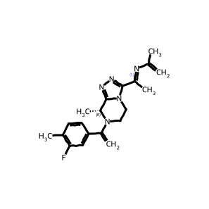 C=C(C)/N=C(\C)c1nnc2n1CCN(C(=C)c1ccc(C)c(F)c1)[C@@H]2C